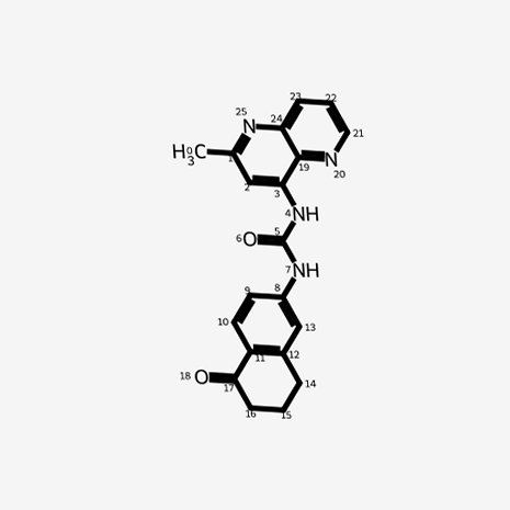 Cc1cc(NC(=O)Nc2ccc3c(c2)CCCC3=O)c2ncccc2n1